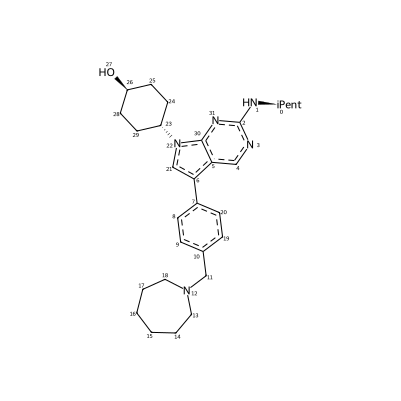 CCC[C@H](C)Nc1ncc2c(-c3ccc(CN4CCCCCC4)cc3)cn([C@H]3CC[C@H](O)CC3)c2n1